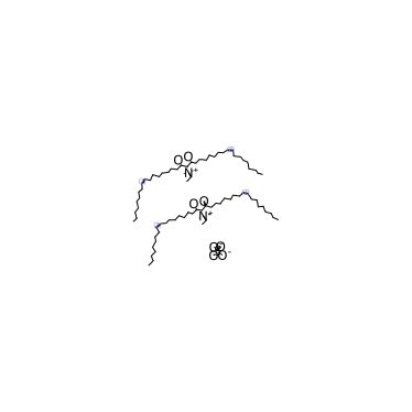 CCCCCCCC/C=C\CCCCCCCC(=O)C(C(=O)CCCCCCC/C=C\CCCCCCCC)[N+](C)(C)CC.CCCCCCCC/C=C\CCCCCCCC(=O)C(C(=O)CCCCCCC/C=C\CCCCCCCC)[N+](C)(C)CC.O=S(=O)([O-])[O-]